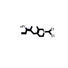 C=C/C(CCC)=C(/C)CC1=C(C)CN(C(CC)CC)CC1